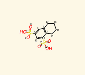 O=S(=O)(O)c1cc2c(c(S(=O)(=O)O)c1)CCCC2